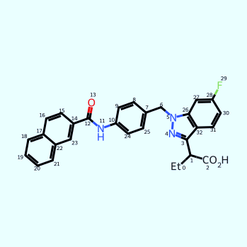 CCC(C(=O)O)c1nn(Cc2ccc(NC(=O)c3ccc4ccccc4c3)cc2)c2cc(F)ccc12